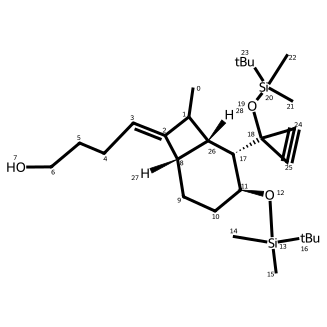 CC1/C(=C/CCCO)[C@H]2CC[C@H](O[Si](C)(C)C(C)(C)C)[C@@H](C3(O[Si](C)(C)C(C)(C)C)C#C3)[C@@H]12